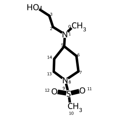 CN(CCO)C1CCN(S(C)(=O)=O)CC1